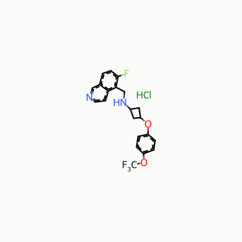 Cl.Fc1ccc2cnccc2c1CNC1CC(Oc2ccc(OC(F)(F)F)cc2)C1